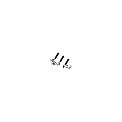 CC#N.CS(=O)(=O)O.CS(=O)(=O)O